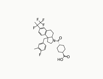 Cc1cc(CC23CCN(C(=O)[C@H]4CC[C@H](C(=O)O)CC4)C2CCc2cc(C(C)(F)C(F)(F)F)ccc23)ccc1F